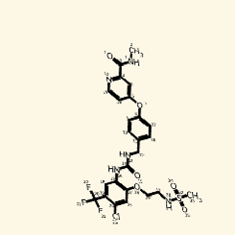 CNC(=O)c1cc(Oc2ccc(CNC(=O)Nc3cc(C(F)(F)F)c(Cl)cc3OCCNS(C)(=O)=O)cc2)ccn1